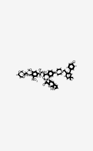 Cn1c(=O)c2nc3[nH]ccc3cc2n1-c1cc(N2CCN(CC3=C(c4ccc(Cl)cc4)CC(C)(C)CC3)CC2)ccc1C(=O)NS(=O)(=O)c1cc2c(c([N+](=O)[O-])c1)N[C@H]([C@@H]1COCCO1)CO2